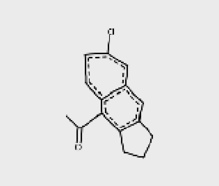 CC(=O)c1c2c(cc3cc(Cl)ccc13)CCC2